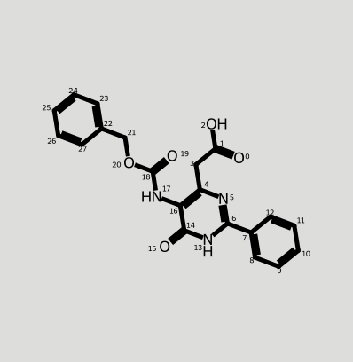 O=C(O)Cc1nc(-c2ccccc2)[nH]c(=O)c1NC(=O)OCc1ccccc1